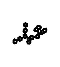 c1ccc(-c2ccc(-c3cc(-c4ccc(-c5ccccc5)cc4)cc(-n4c5ccccc5c5cc(-c6cccc(N(c7ccc8ccccc8c7)c7cccc8ccccc78)c6)ccc54)c3)cc2)cc1